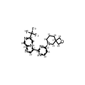 FC(F)(F)c1cn2c(-c3nccc(N4CCCC5(COC5)C4)n3)cnc2cn1